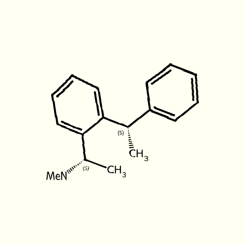 CN[C@@H](C)c1ccccc1[C@@H](C)c1ccccc1